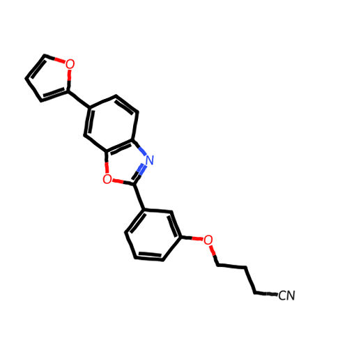 N#CCCCOc1cccc(-c2nc3ccc(-c4ccco4)cc3o2)c1